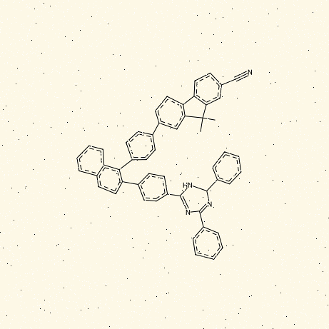 CC1(C)c2cc(C#N)ccc2-c2ccc(-c3ccc(-c4c(-c5ccc(C6=NC(c7ccccc7)=NC(c7ccccc7)N6)cc5)ccc5ccccc45)cc3)cc21